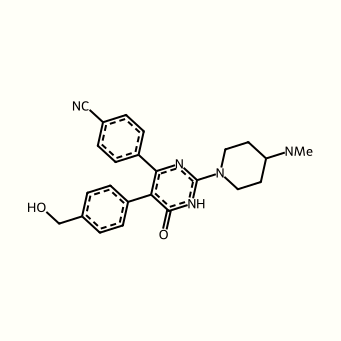 CNC1CCN(c2nc(-c3ccc(C#N)cc3)c(-c3ccc(CO)cc3)c(=O)[nH]2)CC1